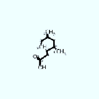 C=C(CC)CC(C)CCC(=O)O